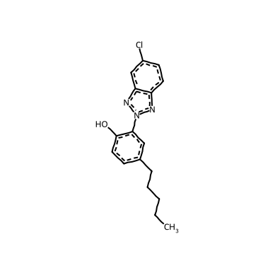 CCCCCc1ccc(O)c(-n2nc3ccc(Cl)cc3n2)c1